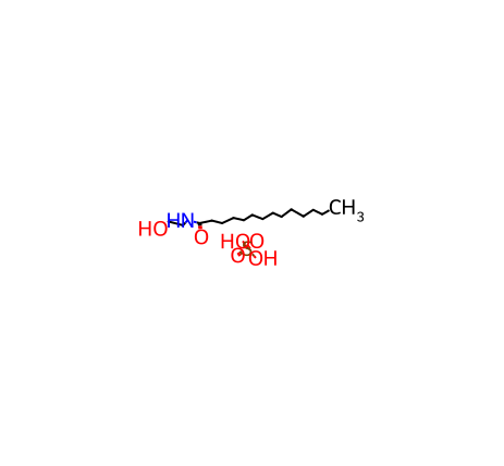 CCCCCCCCCCCCCC(=O)NCCO.O=S(=O)(O)O